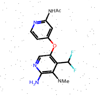 CNc1c(N)ncc(Oc2ccnc(NC(C)=O)c2)c1C(F)F